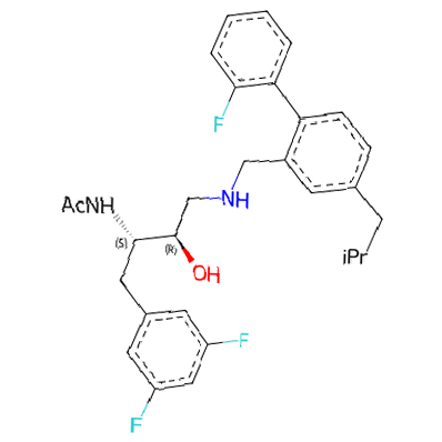 CC(=O)N[C@@H](Cc1cc(F)cc(F)c1)[C@H](O)CNCc1cc(CC(C)C)ccc1-c1ccccc1F